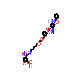 O=C(Nc1ccc(NC(=O)c2ccccc2)cc1)Nc1cccc(COCCOCCCCCCNC[C@@H](O)c2ccc(O)c(CO)c2)c1